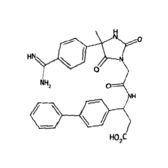 CC1(c2ccc(C(=N)N)cc2)NC(=O)N(CC(=O)NC(CC(=O)O)c2ccc(-c3ccccc3)cc2)C1=O